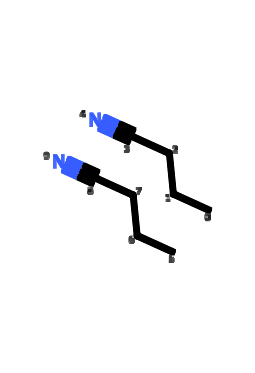 CCCC#N.CCCC#N